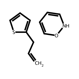 C1=CNOC=C1.C=CCc1cccs1